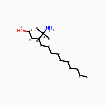 CCCCCCCCCCC(CCO)C(C)(C)N